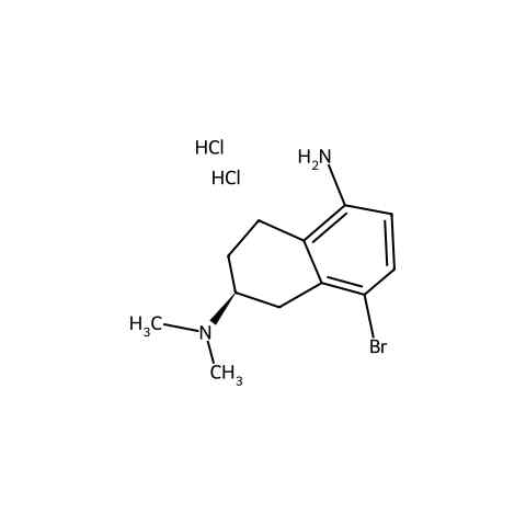 CN(C)[C@H]1CCc2c(N)ccc(Br)c2C1.Cl.Cl